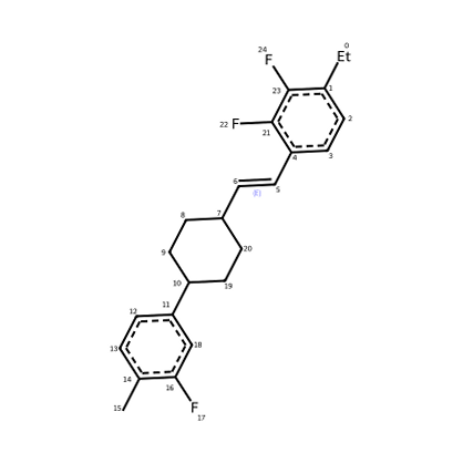 CCc1ccc(/C=C/C2CCC(c3ccc(C)c(F)c3)CC2)c(F)c1F